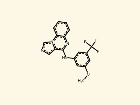 COc1cc(Nc2nc3ccccc3n3cncc23)cc(C(F)(F)F)c1